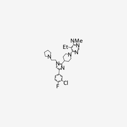 CCc1c(NC)ncnc1N1CCC(c2nc(-c3ccc(F)c(Cl)c3)cn2CCN2CCCC2)CC1